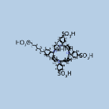 O=C(O)CCCCCCc1ccc(/C2=c3\cc/c([nH]3)=C(\c3ccc(S(=O)(=O)O)cc3)C3C=C/C(=C(\c4ccc(S(=O)(=O)O)cc4)c4ccc([nH]4)/C(c4ccc(S(=O)(=O)O)cc4)=C4/C=CC2N4)N3)cc1